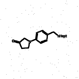 CCCCCCCCc1ccc(N2CCC(=O)C2)cc1